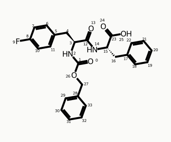 O=C(N[C@@H](Cc1ccc(F)cc1)C(=O)N[C@@H](Cc1ccccc1)C(=O)O)OCc1ccccc1